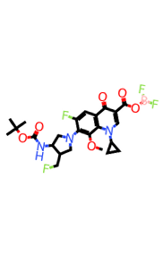 COc1c(N2CC(CF)C(NC(=O)OC(C)(C)C)C2)c(F)cc2c(=O)c(C(=O)OB(F)F)cn(C3CC3)c12